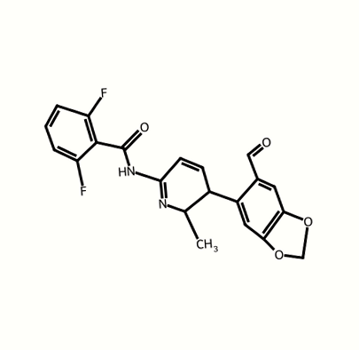 CC1N=C(NC(=O)c2c(F)cccc2F)C=CC1c1cc2c(cc1C=O)OCO2